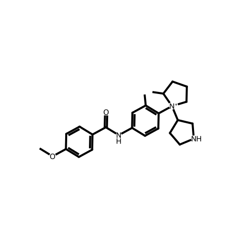 COc1ccc(C(=O)Nc2ccc([N+]3(C4CCNC4)CCCC3C)c(C)c2)cc1